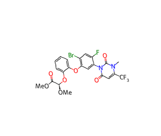 COC(=O)[C@H](OC)Oc1ccccc1Oc1cc(-n2c(=O)cc(C(F)(F)F)n(C)c2=O)c(F)cc1Br